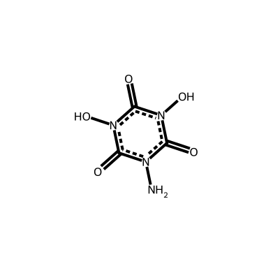 Nn1c(=O)n(O)c(=O)n(O)c1=O